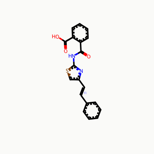 O=C(O)c1ccccc1C(=O)Nc1nc(/C=C/c2ccccc2)cs1